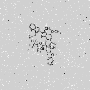 C=CC(=O)O[C@H]1C[C@@H]2CN(C(=O)c3cc(OC)c4c(c3)nc(-c3cc5cccnc5n3CC3CC3)n4C)[C@H]1[C@@H]2NC(=O)OC(C)(C)C